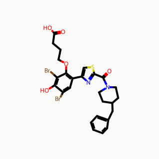 O=C(O)CCCOc1c(-c2csc(C(=O)N3CCC(Cc4ccccc4)CC3)n2)cc(Br)c(O)c1Br